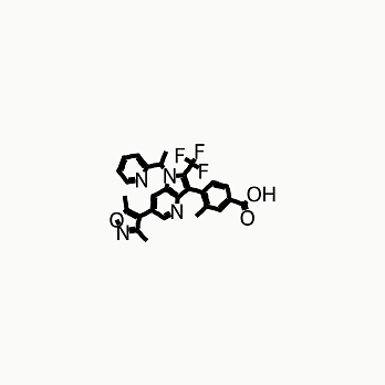 Cc1cc(C(=O)O)ccc1-c1c(C(F)(F)F)n(C(C)c2ccccn2)c2cc(-c3c(C)noc3C)cnc12